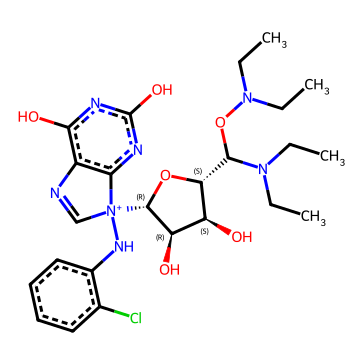 CCN(CC)OC([C@H]1O[C@@H]([N+]2(Nc3ccccc3Cl)C=Nc3c(O)nc(O)nc32)[C@H](O)[C@@H]1O)N(CC)CC